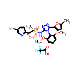 COc1cccc(OC)c1-n1c(NS(=O)(=O)[C@@H](C)[C@H](O)c2ccc(Br)cn2)nnc1-c1ccc(C)o1.O=C(O)C(F)(F)F